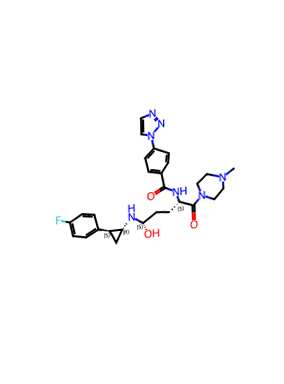 CN1CCN(C(=O)[C@H](CC[C@H](O)N[C@@H]2C[C@H]2c2ccc(F)cc2)NC(=O)c2ccc(-n3ccnn3)cc2)CC1